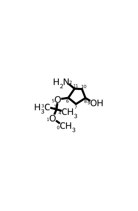 COC(C)(C)OC1CC(O)CC1N